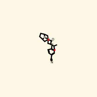 CC(C)CC(=O)N1CC2CCC(C1)N2CCOc1ccc(C#N)cc1